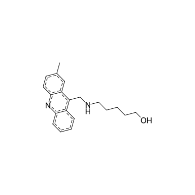 Cc1ccc2nc3ccccc3c(CNCCCCCO)c2c1